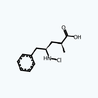 C[C@@H](C[C@H](Cc1ccccc1)NCl)C(=O)O